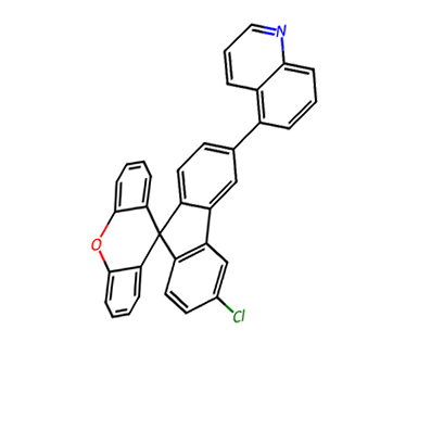 Clc1ccc2c(c1)-c1cc(-c3cccc4ncccc34)ccc1C21c2ccccc2Oc2ccccc21